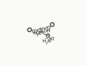 CC(CCc1ccc(C(N)=O)s1)N(CC(O)COc1ccccc1)CC(O)COc1ccccc1